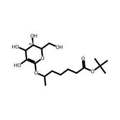 CC(CCCCC(=O)OC(C)(C)C)OC1=C(O)C(O)[C@@H](O)C(CO)O1